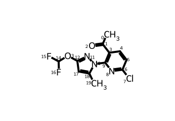 CC(=O)c1ccc(Cl)nc1-n1nc(OC(F)F)cc1C